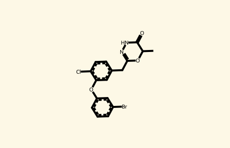 CC1OC(Cc2ccc(Cl)c(Oc3cccc(Br)c3)c2)=NNC1=O